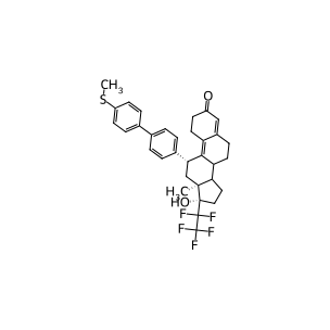 CSc1ccc(-c2ccc([C@H]3C[C@@]4(C)C(CC[C@@]4(O)C(F)(F)C(F)(F)F)C4CCC5=CC(=O)CCC5=C43)cc2)cc1